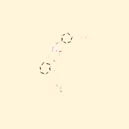 COCc1ccc([C@H](C)N2CCC(CCCO[Si](C)(C)C(C)(C)C)(c3ccccc3)OC2=O)cc1